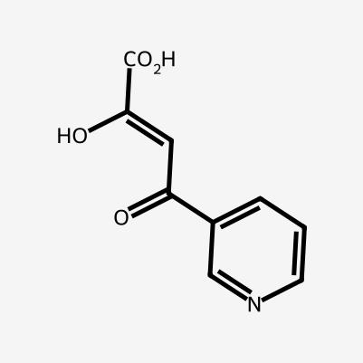 O=C(O)C(O)=CC(=O)c1cccnc1